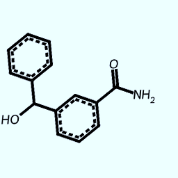 NC(=O)c1cccc(C(O)c2ccccc2)c1